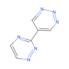 [c]1nnncc1-c1nccnn1